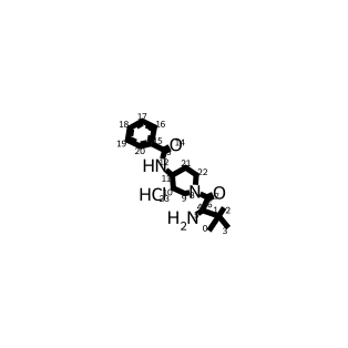 CC(C)(C)C(N)C(=O)N1CCC(NC(=O)c2ccccc2)CC1.Cl